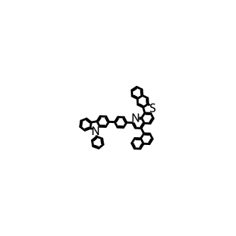 c1ccc(-n2c3ccccc3c3ccc(-c4ccc(-c5cc(-c6cccc7ccccc67)c6ccc7sc8cc9ccccc9cc8c7c6n5)cc4)cc32)cc1